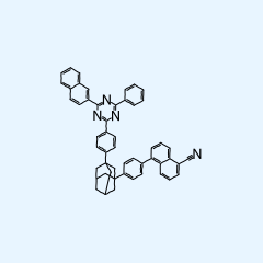 N#Cc1cccc2c(-c3ccc(C45CC6CC(CC(c7ccc(-c8nc(-c9ccccc9)nc(-c9ccc%10ccccc%10c9)n8)cc7)(C6)C4)C5)cc3)cccc12